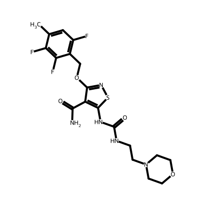 Cc1cc(F)c(COc2nsc(NC(=O)NCCN3CCOCC3)c2C(N)=O)c(F)c1F